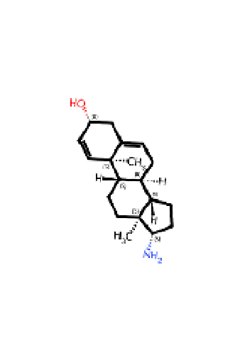 C[C@]12CC[C@H]3[C@@H](CC=C4C[C@@H](O)C=C[C@@]43C)[C@@H]1CC[C@@H]2N